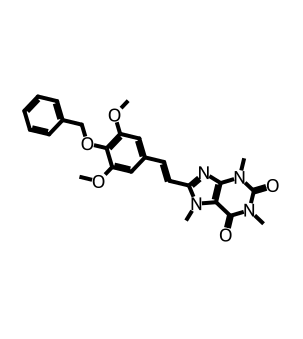 COc1cc(C=Cc2nc3c(c(=O)n(C)c(=O)n3C)n2C)cc(OC)c1OCc1ccccc1